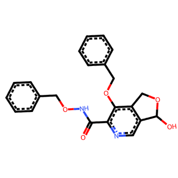 O=C(NOCc1ccccc1)c1ncc2c(c1OCc1ccccc1)COC2O